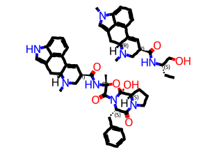 CC[C@@H](CO)NC(=O)[C@@H]1C=C2c3cccc4c3c(cn4C)C[C@H]2N(C)C1.CN1C[C@H](C(=O)N[C@]2(C)O[C@@]3(O)[C@@H]4CCCN4C(=O)[C@H](Cc4ccccc4)N3C2=O)C=C2c3cccc4[nH]cc(c34)C[C@H]21